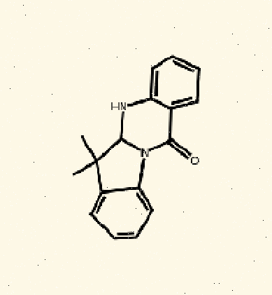 CC1(C)c2ccccc2N2C(=O)c3ccccc3NC21